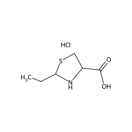 CCC1NC(C(=O)O)CS1.Cl